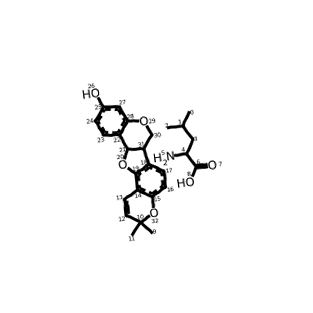 CC(C)CC(N)C(=O)O.CC1(C)C=Cc2c(ccc3c2OC2c4ccc(O)cc4OCC32)O1